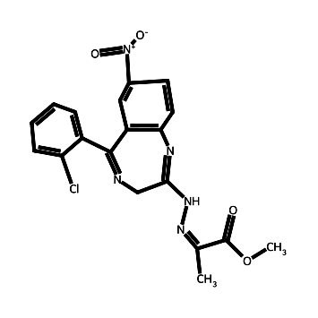 COC(=O)C(C)=NNC1=Nc2ccc([N+](=O)[O-])cc2C(c2ccccc2Cl)=NC1